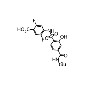 CC(C)(C)NC(=O)c1ccc(S(=O)(=O)Nc2cc(F)c(C(=O)O)cc2F)c(O)c1